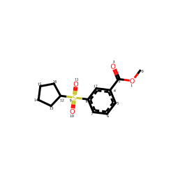 COC(=O)c1cccc(S(=O)(=O)C2CCCC2)c1